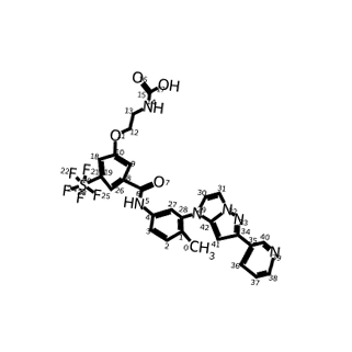 Cc1ccc(NC(=O)c2cc(OCCNC(=O)O)cc(S(F)(F)(F)(F)F)c2)cc1-n1ccn2nc(-c3cccnc3)cc12